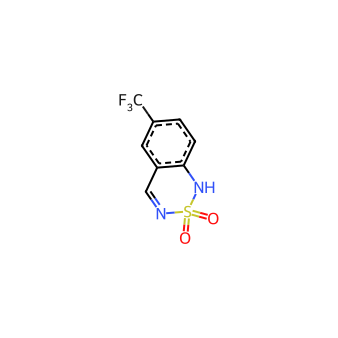 O=S1(=O)N=Cc2cc(C(F)(F)F)ccc2N1